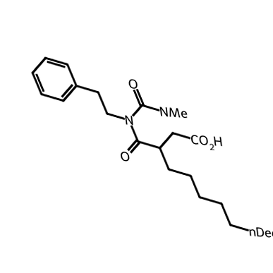 CCCCCCCCCCCCCCCC(CC(=O)O)C(=O)N(CCc1ccccc1)C(=O)NC